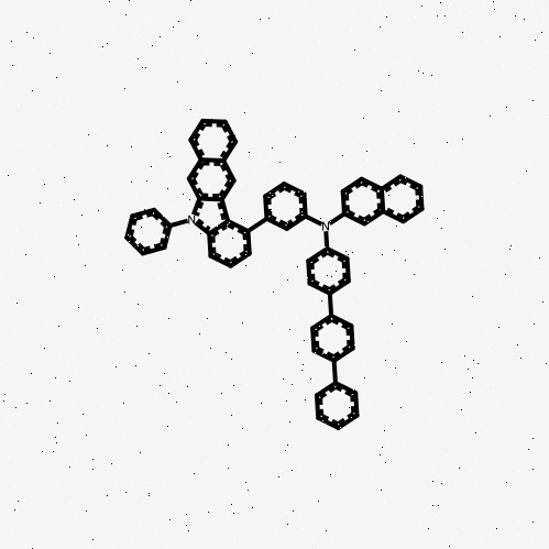 c1ccc(-c2ccc(-c3ccc(N(c4cccc(-c5cccc6c5c5cc7ccccc7cc5n6-c5ccccc5)c4)c4ccc5ccccc5c4)cc3)cc2)cc1